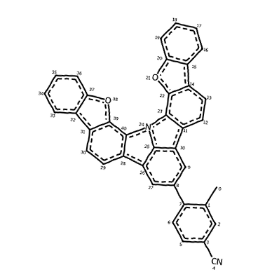 Cc1cc(C#N)ccc1-c1cc2c3ccc4c5ccccc5oc4c3n3c2c(c1)c1ccc2c4ccccc4oc2c13